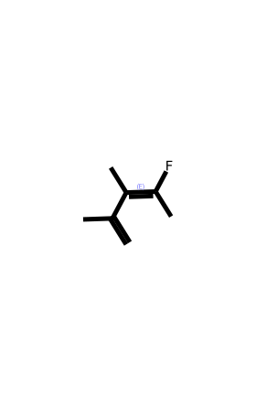 C=C(C)/C(C)=C(\C)F